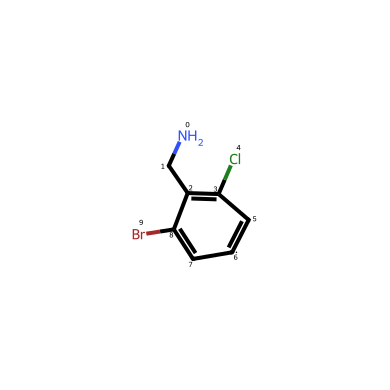 NCc1c(Cl)c[c]cc1Br